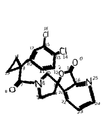 O=C1OC2(CCN(C(=O)C3(c4ccc(Cl)c(Cl)c4)CC3)C2)c2cccnc21